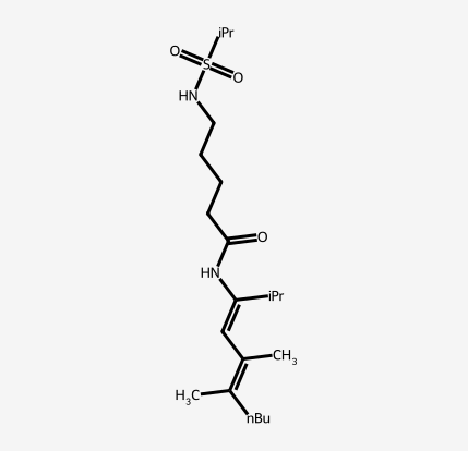 CCCC/C(C)=C(C)/C=C(/NC(=O)CCCCNS(=O)(=O)C(C)C)C(C)C